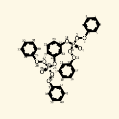 O=P(OOc1ccccc1)(OOc1ccccc1)Oc1cccc(OP(=O)(OOc2ccccc2)OOc2ccccc2)c1